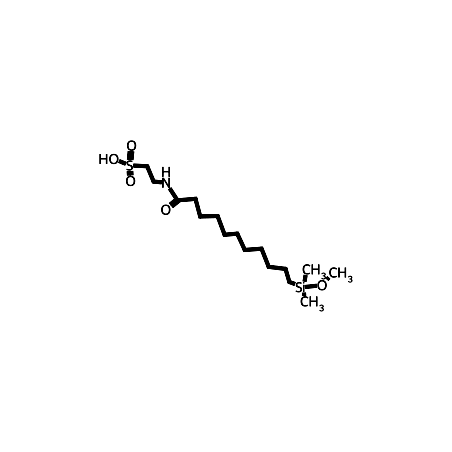 CO[Si](C)(C)CCCCCCCCCCC(=O)NCCS(=O)(=O)O